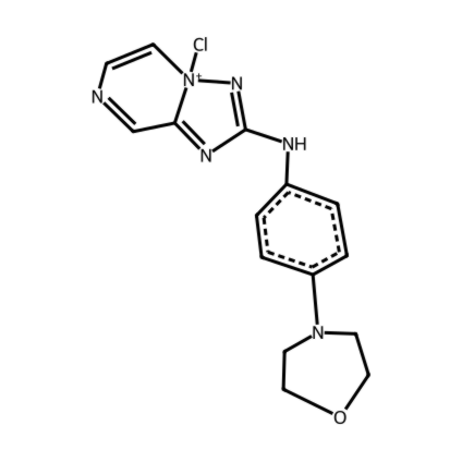 Cl[N+]12C=CN=CC1=NC(Nc1ccc(N3CCOCC3)cc1)=N2